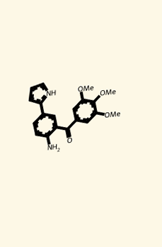 COc1cc(C(=O)c2cc(-c3ccc[nH]3)ccc2N)cc(OC)c1OC